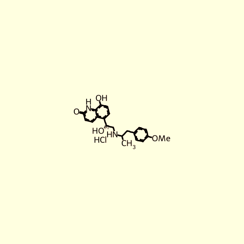 COc1ccc(CC(C)NC[C@H](O)c2ccc(O)c3[nH]c(=O)ccc23)cc1.Cl